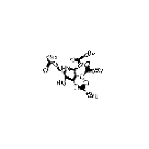 CC(C)(C)C(=O)OC[C@H]1NC(OC(=O)C(C)(C)C)[C@H](OC(=O)C(C)(C)C)[C@@H](OC(=O)C(C)(C)C)[C@H]1O